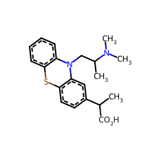 CC(C(=O)O)c1ccc2c(c1)N(CC(C)N(C)C)c1ccccc1S2